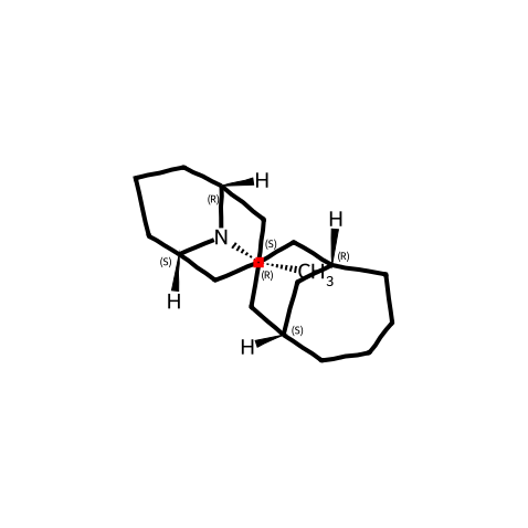 C[C@H]1C[C@H]2CCC[C@@H](C1)N2[C@@H]1C[C@@H]2CCCC[C@@H](C2)C1